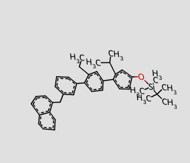 CCc1cc(-c2ccc(O[Si](C)(C)C(C)(C)C)cc2C(C)C)ccc1-c1cccc(Cc2cccc3ccccc23)c1